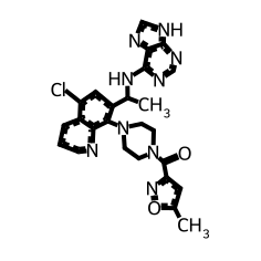 Cc1cc(C(=O)N2CCN(c3c(C(C)Nc4ncnc5[nH]cnc45)cc(Cl)c4cccnc34)CC2)no1